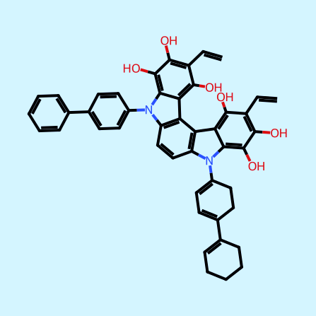 C=Cc1c(O)c(O)c2c(c1O)c1c3c4c(O)c(C=C)c(O)c(O)c4n(-c4ccc(-c5ccccc5)cc4)c3ccc1n2C1=CC=C(C2=CCCCC2)CC1